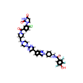 O=C1CCN(c2cc(C(=O)N3CCC(CN4CCN(c5ncc(-c6ccc7cn([C@H]8CC[C@H](CNC(=O)c9cc(F)c(O)c(F)c9F)CC8)nc7c6)cn5)CC4)CC3)ccc2Cl)C(=O)N1